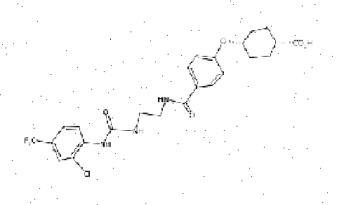 O=C(NCCNC(=O)c1ccc(O[C@H]2CC[C@@H](C(=O)O)CC2)cc1)Nc1ccc(C(F)(F)F)cc1Cl